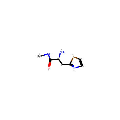 C[CH]CNC(=O)[C@@H](N)Cc1nccs1